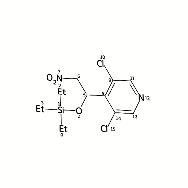 CC[Si](CC)(CC)OC(C[N+](=O)[O-])c1c(Cl)cncc1Cl